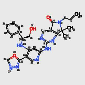 C=CCN1C(=O)c2cnc(Nc3cc(N[C@H](CO)c4ccccc4)c(-c4nnco4)cn3)nc2C1(C)C